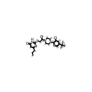 CCCc1cc(=O)[nH]c(SCC(=O)N2CCN(c3ncc(C(F)(F)F)cc3Cl)CC2)n1